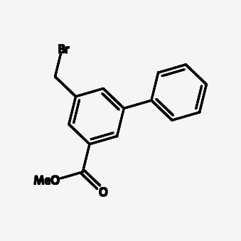 COC(=O)c1cc(CBr)cc(-c2ccccc2)c1